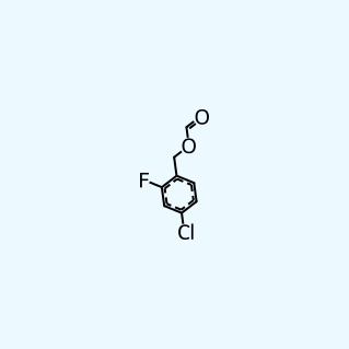 O=COCc1ccc(Cl)cc1F